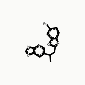 CC(C)c1ccc2nc(CC(C)c3cnc4ncoc4c3)oc2c1